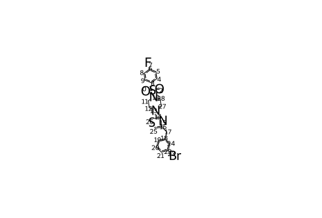 O=S(=O)(c1ccc(F)cc1)N1CCN(c2nc(Cc3cccc(Br)c3)cs2)CC1